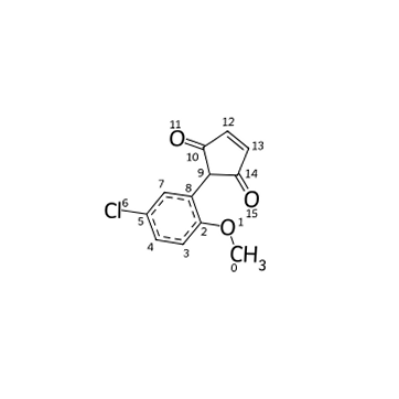 COc1ccc(Cl)cc1C1C(=O)C=CC1=O